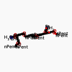 CCCCCC(CCCCC)CCOC(=O)CCCCCCCCC(CCCCCCCCC(=O)OCCC(CCCCC)CC(CCC)CCCCCC(CCCCC)CCOC(=O)CCCCCCCC1(CCCCCCCC(=O)OCCC(CCCCC)CCCCC)OCC(CCN(C)C)O1)OC(=O)CCCN(C)CC